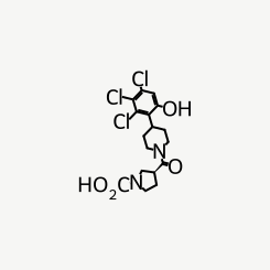 O=C(O)N1CC[C@H](C(=O)N2CCC(c3c(O)cc(Cl)c(Cl)c3Cl)CC2)C1